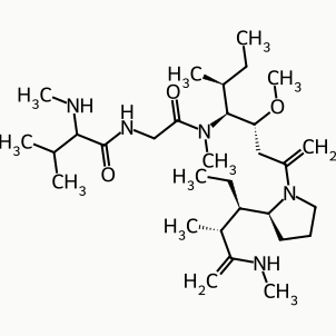 C=C(NC)[C@H](C)[C@@H](CC)[C@@H]1CCCN1C(=C)C[C@@H](OC)[C@H]([C@@H](C)CC)N(C)C(=O)CNC(=O)C(NC)C(C)C